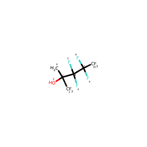 CC(O)(C(F)(F)F)C(F)(F)C(F)(F)C(F)(F)F